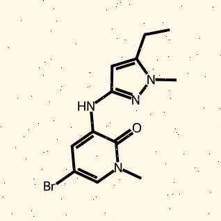 CCc1cc(Nc2cc(Br)cn(C)c2=O)nn1C